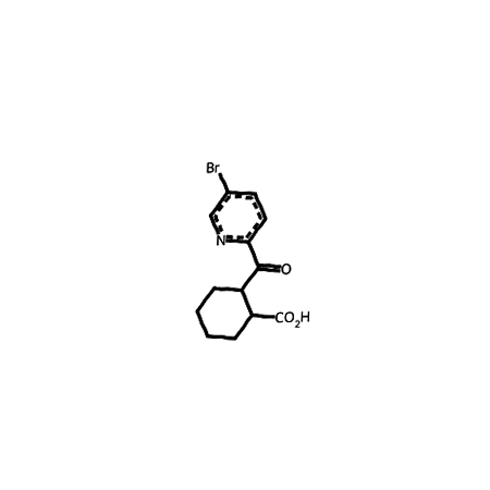 O=C(O)C1CCCCC1C(=O)c1ccc(Br)cn1